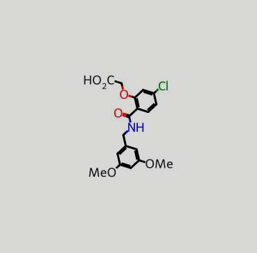 COc1cc(CNC(=O)c2ccc(Cl)cc2OCC(=O)O)cc(OC)c1